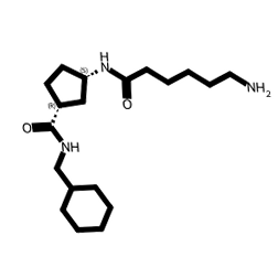 NCCCCCC(=O)N[C@H]1CC[C@@H](C(=O)NCC2CCCCC2)C1